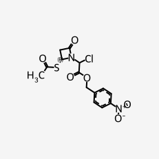 CC(=O)S[C@@H]1CC(=O)N1C(Cl)C(=O)OCc1ccc([N+](=O)[O-])cc1